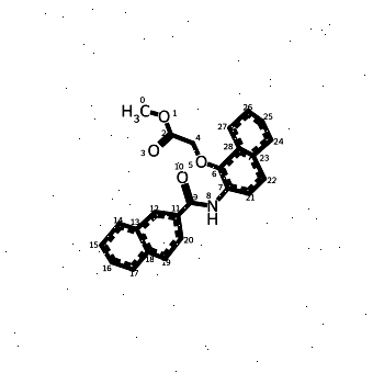 COC(=O)COc1c(NC(=O)c2[c]c3ccccc3cc2)ccc2ccccc12